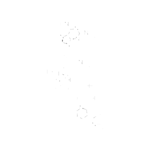 NC(=O)c1ccc[n+](C2OC(COP(=O)(O)OP(=O)(O)OCC3OC(n4cnc5c(N)nc(N)nc54)CC3N)C(O)C2O)c1